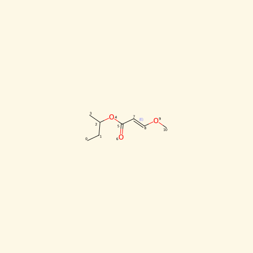 CCC(C)OC(=O)/C=C/OC